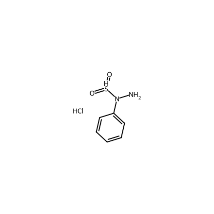 Cl.NN(c1ccccc1)[SH](=O)=O